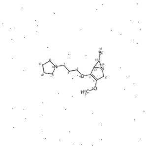 COC1=C(OCCCN2CCCC2)C2C(Br)N2C1